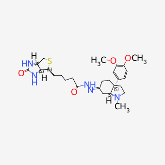 COc1ccc([C@@]23CCC(=NNC(=O)CCCC[C@@H]4SC[C@@H]5NC(=O)N[C@@H]54)C[C@@H]2N(C)CC3)cc1OC